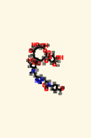 CC[C@H]1OC(=O)[C@H](C)[C@@H](O[C@H]2C[C@@](C)(OC)[C@@H](O)[C@H](C)O2)[C@H](C)[C@@H](O[C@@H]2O[C@H](C)C[C@H](N(C)CCc3cn(C[C@H]4CN(c5ccc(C(C)=O)cc5)C(=O)O4)nn3)[C@H]2C)[C@](C)(O)C[C@@H](C)C(=O)[C@H](C)[C@@H](O)[C@]1(C)O